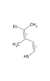 CC/C(C)=C(C)/C=C\S